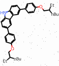 CCCCC(CC)COc1ccc(-c2ccc3[nH]c4ccc(-c5ccc(OCC(CC)CCCC)cc5)cc4c3c2)cc1